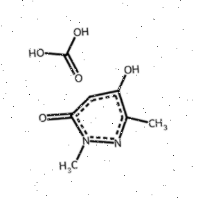 Cc1nn(C)c(=O)cc1O.O=C(O)O